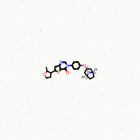 CC1OCCC1c1cc2ncn(-c3ccc(O[C@H]4C[C@H]5CC[C@@H](C4)N5C)cc3)c(=O)c2s1